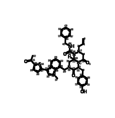 C=CCN1CC(=O)N2[C@@H](Cc3ccc(O)cc3)C(=O)N(Cc3cccc4c(-c5ccc(C(C)=O)s5)cn(C)c34)C[C@@H]2N1C(=O)NCc1ccccc1